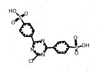 O=S(=O)(O)c1ccc(-c2nc(Cl)nc(-c3ccc(S(=O)(=O)O)cc3)n2)cc1